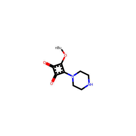 CCCCOc1c(N2CCNCC2)c(=O)c1=O